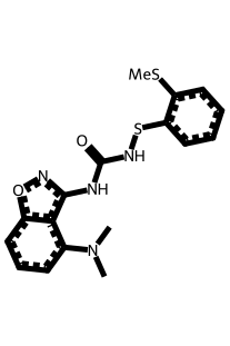 CSc1ccccc1SNC(=O)Nc1noc2cccc(N(C)C)c12